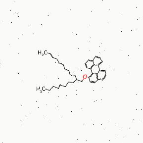 CCCCCCCCCCC(CCCCCCCC)COc1ccc2cccc3c4cccc5cccc(c1c23)c54